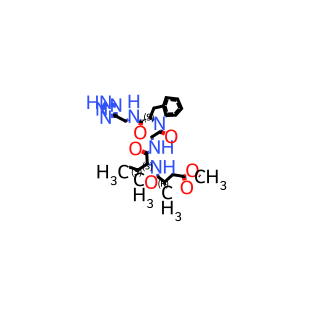 CC[C@H](C)[C@H](NC(=O)[C@H](C)CC(=O)OC)C(=O)NCC(=O)N1c2ccccc2C[C@H]1C(=O)NCc1nn[nH]n1